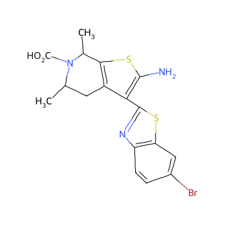 CC1Cc2c(sc(N)c2-c2nc3ccc(Br)cc3s2)C(C)N1C(=O)O